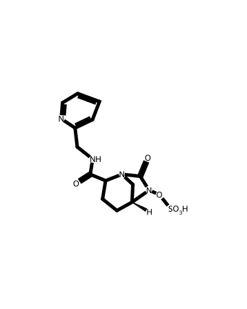 O=C(NCc1ccccn1)C1CC[C@@H]2CN1C(=O)N2OS(=O)(=O)O